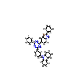 c1ccc(-c2nc(-c3cccc(-n4c5ccccc5c5ccccc54)c3)nc(-c3ccc4nc(-c5ccccc5)sc4c3)n2)cc1